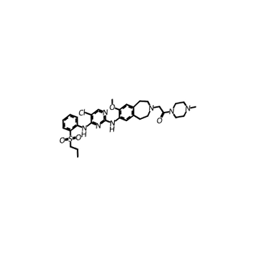 CCCS(=O)(=O)c1ccccc1Nc1nc(Nc2cc3c(cc2OC)CCN(CC(=O)N2CCN(C)CC2)CC3)ncc1Cl